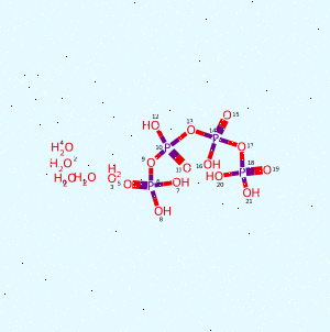 O.O.O.O.O.O=P(O)(O)OP(=O)(O)OP(=O)(O)OP(=O)(O)O